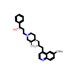 COc1ccc2nccc(CCC[C@@H]3CCN(CC[C@H](O)c4ccccc4)C[C@@H]3C(=O)O)c2c1